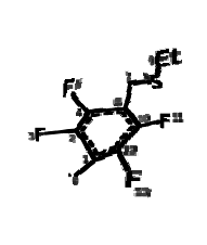 [CH2]c1c(F)c(F)c(CSCC)c(F)c1F